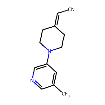 N#CC=C1CCN(c2cncc(C(F)(F)F)c2)CC1